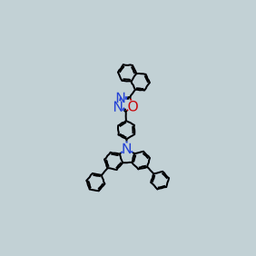 c1ccc(-c2ccc3c(c2)c2cc(-c4ccccc4)ccc2n3-c2ccc(-c3nnc(-c4cccc5ccccc45)o3)cc2)cc1